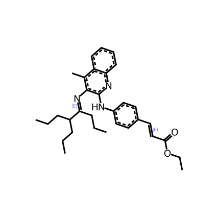 CCC/C(=N\c1c(Nc2ccc(/C=C/C(=O)OCC)cc2)nc2ccccc2c1C)C(CCC)CCC